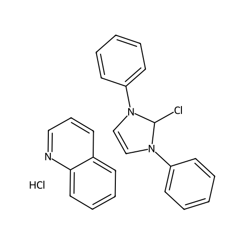 Cl.ClC1N(c2ccccc2)C=CN1c1ccccc1.c1ccc2ncccc2c1